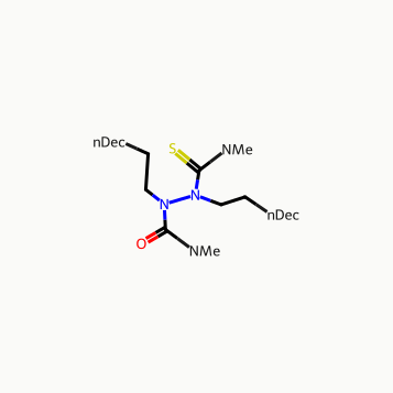 CCCCCCCCCCCCN(C(=O)NC)N(CCCCCCCCCCCC)C(=S)NC